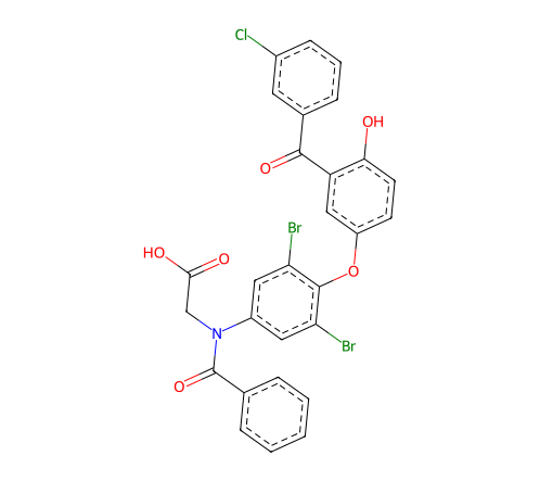 O=C(O)CN(C(=O)c1ccccc1)c1cc(Br)c(Oc2ccc(O)c(C(=O)c3cccc(Cl)c3)c2)c(Br)c1